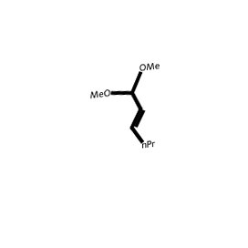 CCCC=CC(OC)OC